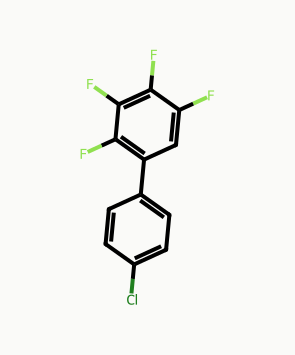 Fc1cc(-c2ccc(Cl)cc2)c(F)c(F)c1F